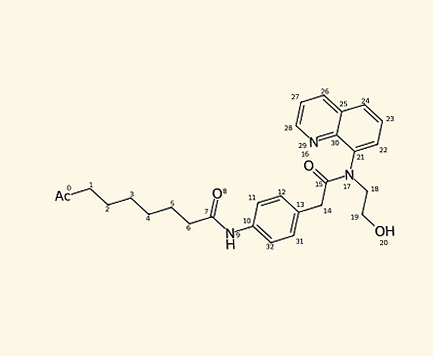 CC(=O)CCCCCCC(=O)Nc1ccc(CC(=O)N(CCO)c2cccc3cccnc23)cc1